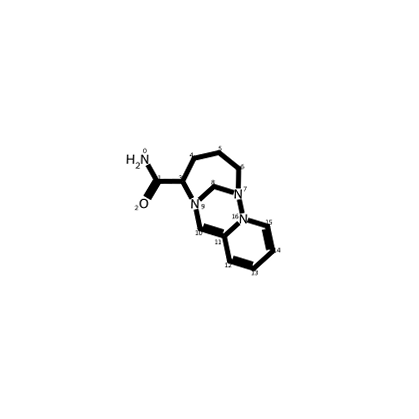 NC(=O)C1CCCN2CN1C=C1C=CC=CN12